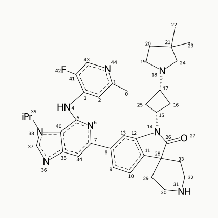 Cc1cc(Nc2nc(-c3ccc4c(c3)N([C@H]3C[C@@H](N5CCC(C)(C)C5)C3)C(=O)C43CCNCC3)cc3ncn(C(C)C)c23)c(F)cn1